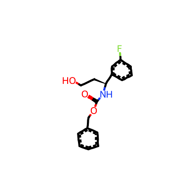 O=C(N[C@@H](CCO)c1cccc(F)c1)OCc1ccccc1